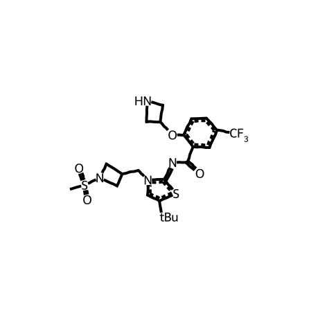 CC(C)(C)c1cn(CC2CN(S(C)(=O)=O)C2)/c(=N/C(=O)c2cc(C(F)(F)F)ccc2OC2CNC2)s1